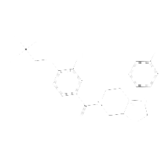 Cc1cc(C(=O)N2CC[C@@]3(c4ccc(F)cc4)OCOC3C2)ccc1OCC(C)(C)O